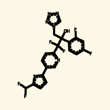 OC(Cn1cnnn1)(c1ccc(F)cc1F)C(F)(F)c1ccc(-c2ccc(C(F)F)s2)cn1